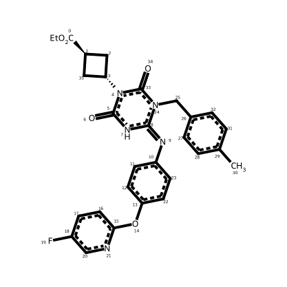 CCOC(=O)[C@H]1C[C@H](n2c(=O)[nH]/c(=N\c3ccc(Oc4ccc(F)cn4)cc3)n(Cc3ccc(C)cc3)c2=O)C1